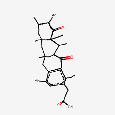 CCCC(=O)Cc1cc(C(C)C)c2c(c1C)C(=O)C1C(C)C3(C)C(=O)C(C(C)=O)C(C)CC3(C)CC1(C)C2